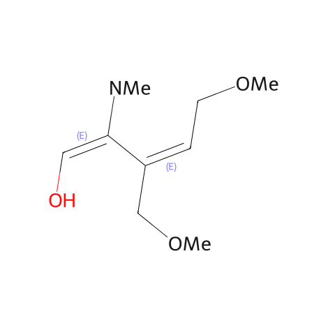 CNC(=C/O)/C(=C\COC)COC